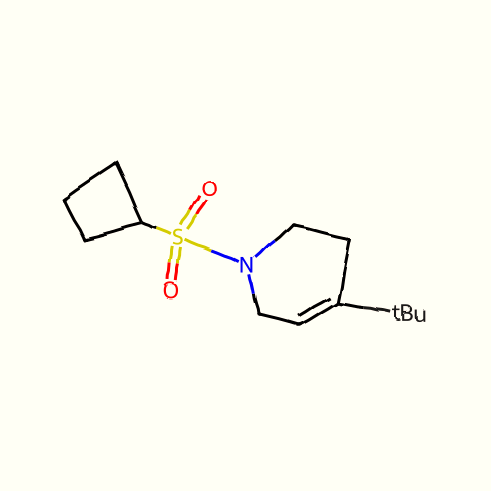 CC(C)(C)C1=CCN(S(=O)(=O)C2CCC2)CC1